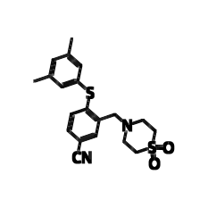 Cc1cc(C)cc(Sc2ccc(C#N)cc2CN2CCS(=O)(=O)CC2)c1